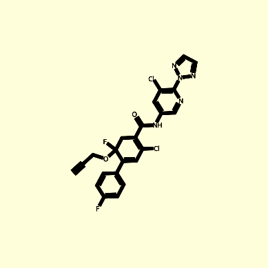 C#CCOC1(F)CC(C(=O)Nc2cnc(-n3nccn3)c(Cl)c2)=C(Cl)C=C1c1ccc(F)cc1